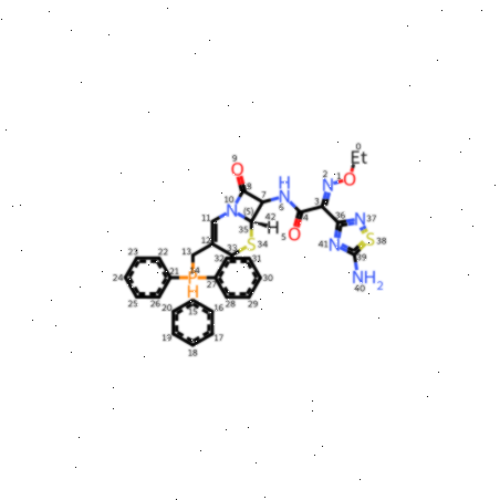 CCON=C(C(=O)NC1C(=O)N2C=C(C[PH](c3ccccc3)(c3ccccc3)c3ccccc3)CS[C@@H]12)c1nsc(N)n1